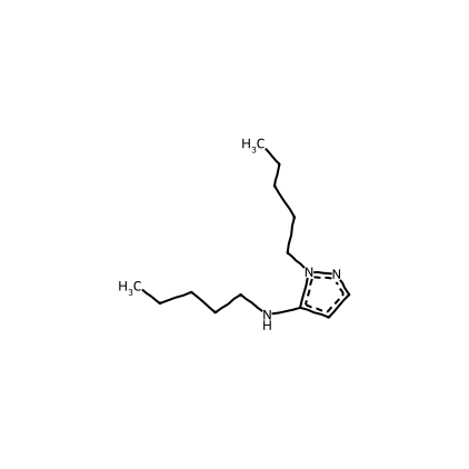 CCCCCNc1ccnn1CCCCC